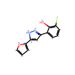 Oc1c(F)cccc1-c1cc(-c2ccco2)[nH]n1